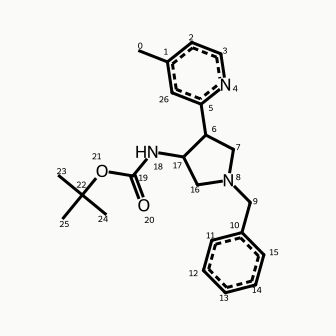 Cc1ccnc(C2CN(Cc3ccccc3)CC2NC(=O)OC(C)(C)C)c1